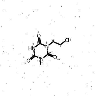 O=c1[nH]c(=O)n(CCCl)c(=O)[nH]1